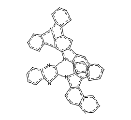 c1ccc2cc3c(cc2c1)c1cc2c4ccccc4n4c5ccccc5c(c1n3-c1nc3ccccc3nc1-n1c3ccccc3c3c5ccccc5ccc31)c24